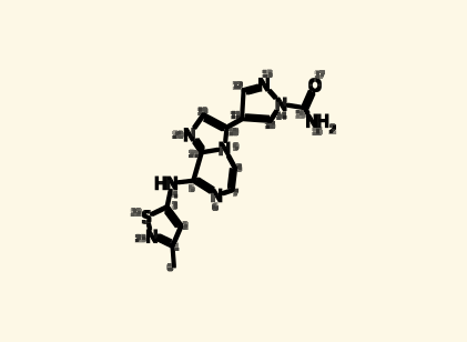 Cc1cc(Nc2nccn3c(-c4cnn(C(N)=O)c4)cnc23)sn1